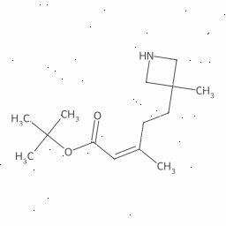 C/C(=C/C(=O)OC(C)(C)C)CCC1(C)CNC1